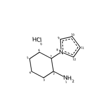 Cl.NC1CCCCC1n1cccc1